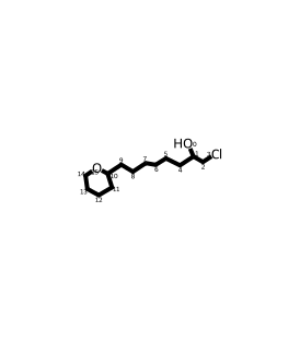 OC(CCl)CCCCCCC1CCCCO1